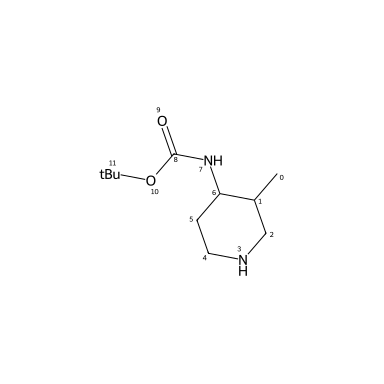 CC1CNCCC1NC(=O)OC(C)(C)C